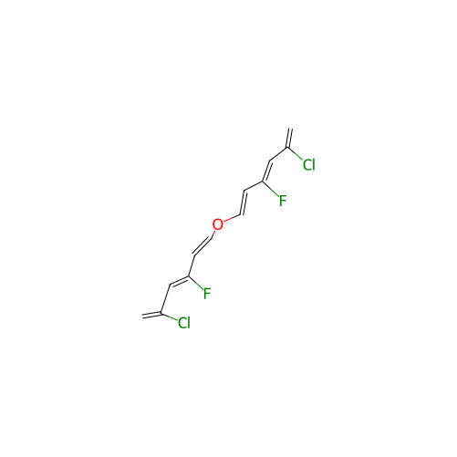 C=C(Cl)C=C(F)C=COC=CC(F)=CC(=C)Cl